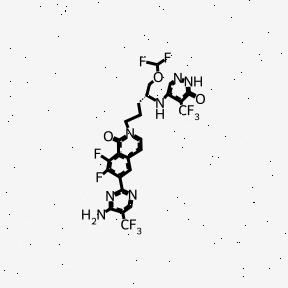 Nc1nc(-c2cc3ccn(CCC[C@H](COC(F)F)Nc4cn[nH]c(=O)c4C(F)(F)F)c(=O)c3c(F)c2F)ncc1C(F)(F)F